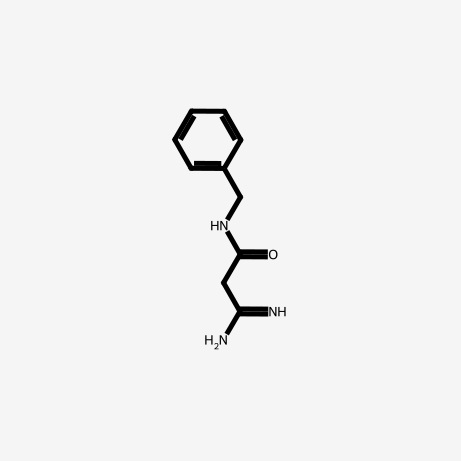 N=C(N)CC(=O)NCc1ccccc1